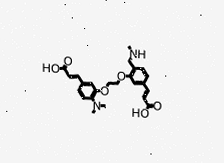 CNCc1ccc(/C=C/C(=O)O)cc1OCCOc1cc(/C=C/C(=O)O)ccc1N(C)C